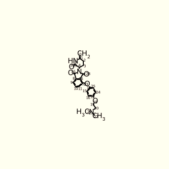 C=C1CCC(N2C(=O)c3cccc(Oc4ccc(OCCN(C)C)cc4)c3C2=O)C(=O)N1